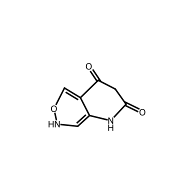 O=C1CC(=O)C2=CONC=C2N1